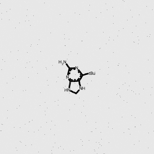 CC(C)(C)c1nc(N)nc2c1NCN2